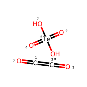 O=C=C=O.O=[Te](=O)(O)O